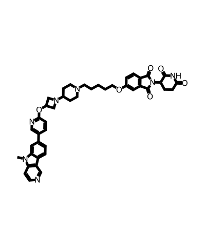 Cn1c2ccncc2c2ccc(-c3ccc(OC4CN(C5CCN(CCCCCOc6ccc7c(c6)C(=O)N(C6CCC(=O)NC6=O)C7=O)CC5)C4)nc3)cc21